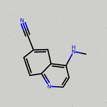 CNc1ccnc2ccc(C#N)cc12